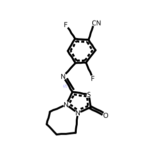 N#Cc1cc(F)c(/N=c2\sc(=O)n3n2CCCC3)cc1F